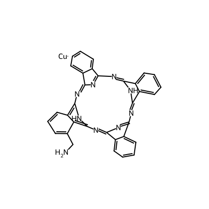 NCc1cccc2c3nc4nc(nc5[nH]c(nc6nc(nc([nH]3)c12)-c1ccccc1-6)c1ccccc51)-c1ccccc1-4.[Cu]